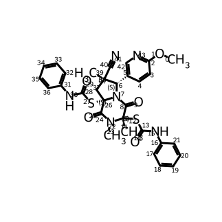 COc1ccc([C@@H]2N3C(=O)[C@](C)(SC(=O)Nc4ccccc4)N(C)C(=O)[C@@]3(SC(=O)Nc3ccccc3)C[C@]2(C)C#N)cn1